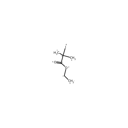 [CH2]COC(=O)C(C)(C)I